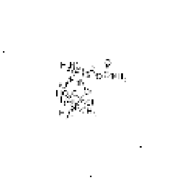 CCC(ON1C(=O)[C@@H](N)[C@H]1COC(N)=O)(C(=O)O)[Si](C)(C)C